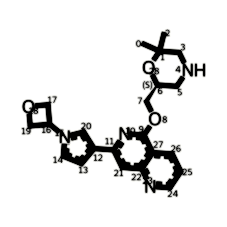 CC1(C)CNC[C@@H](COc2nc(-c3ccn(C4COC4)c3)cc3ncccc23)O1